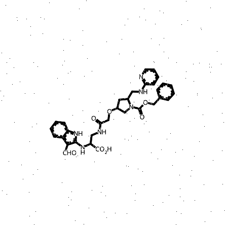 O=Cc1c(NC(CNC(=O)COC2CC(CNc3ccccn3)N(C(=O)OCc3ccccc3)C2)C(=O)O)[nH]c2ccccc12